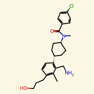 Cc1c(CCCO)ccc([C@H]2CC[C@H](N(C)C(=O)c3ccc(Cl)cc3)CC2)c1CN